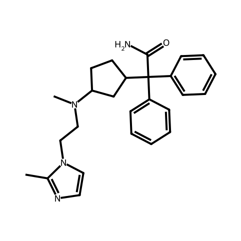 Cc1nccn1CCN(C)C1CCC(C(C(N)=O)(c2ccccc2)c2ccccc2)C1